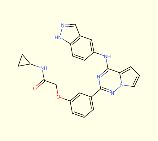 O=C(COc1cccc(-c2nc(Nc3ccc4[nH]ncc4c3)c3cccn3n2)c1)NC1CC1